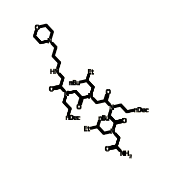 CCCCCCCCCCCCN(CC(=O)N(CC(=O)N(CCCCCCCCCCCC)CC(=O)N(CC(N)=O)CC(CC)CCCC)CC(CC)CCCC)C(=O)CNCCCN1CCOCC1